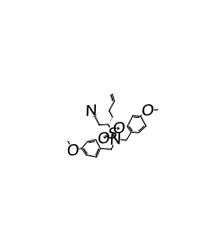 C=CCC[C@@H](CC#N)S(=O)(=O)N(Cc1ccc(OC)cc1)Cc1ccc(OC)cc1